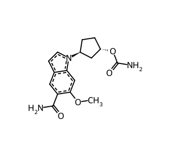 COc1cc2c(ccn2[C@H]2CC[C@H](OC(N)=O)C2)cc1C(N)=O